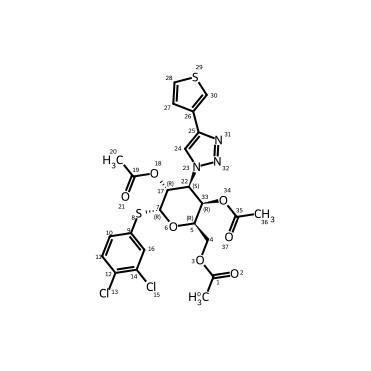 CC(=O)OC[C@H]1O[C@H](Sc2ccc(Cl)c(Cl)c2)[C@H](OC(C)=O)[C@@H](n2cc(-c3ccsc3)nn2)[C@H]1OC(C)=O